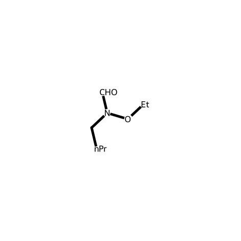 CCCCN(C=O)OCC